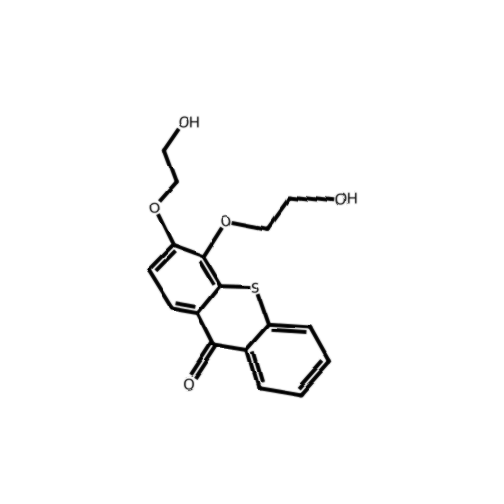 O=c1c2ccccc2sc2c(OCCO)c(OCCO)ccc12